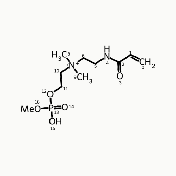 C=CC(=O)NCC[N+](C)(C)CCOP(=O)(O)OC